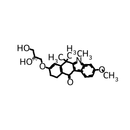 COc1ccc2c3c(n(C)c2c1)C(C)(C)C1=C(CCC(OC[C@H](O)CO)=C1)C3=O